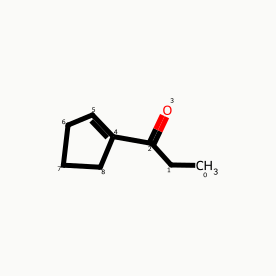 CCC(=O)C1=CCCC1